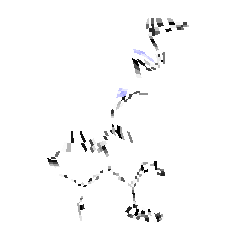 C=C(OC)c1c(F)cccc1N/C=C/C=N/NC